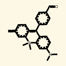 C=c1ccc2c(c1)[Si](C)(C)c1cc(N(C)C)ccc1C=2c1ccc(C=O)cc1